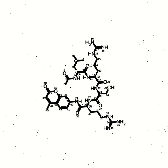 CC(=O)N[C@@H](CC(C)C)C(=O)N[C@@H](CCCNC(=N)N)C(=O)N[C@@H](CO)C(=O)N[C@@H](CCCNC(=N)N)C(=O)Nc1ccc2c(C)cc(=O)oc2c1